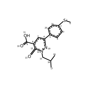 CSc1ccc(-c2cc(C(=O)O)c(=O)n(CC(C)C)n2)cc1